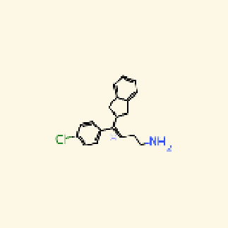 NCC/C=C(/c1ccc(Cl)cc1)C1Cc2ccccc2C1